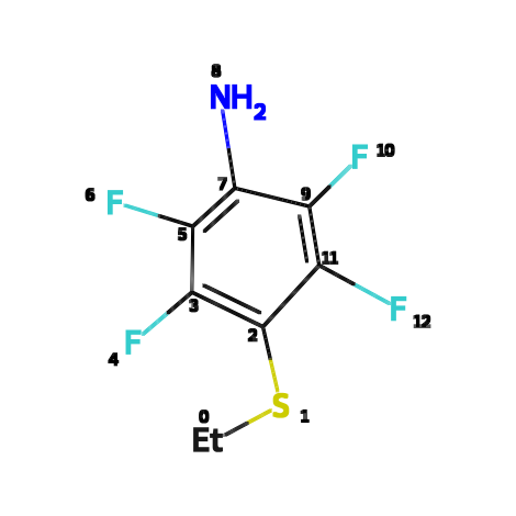 CCSc1c(F)c(F)c(N)c(F)c1F